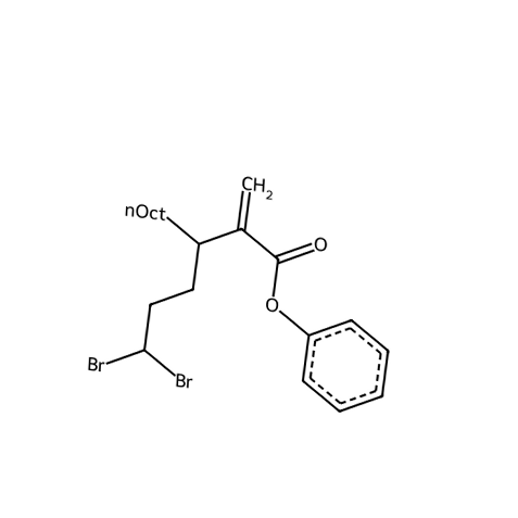 C=C(C(=O)Oc1ccccc1)C(CCCCCCCC)CCC(Br)Br